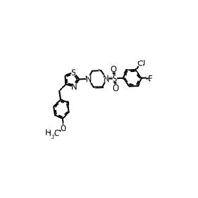 COc1ccc(Cc2csc(N3CCN(S(=O)(=O)c4ccc(F)c(Cl)c4)CC3)n2)cc1